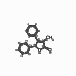 CC1=C(c2ccccc2)C(c2ccccc2)OC1=O